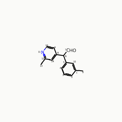 Cc1cccc(C(C=O)c2ccnc(C)c2)c1